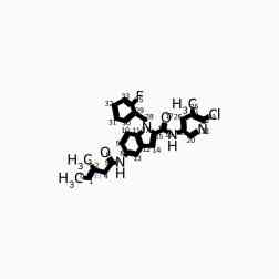 C/C=C(\C)CC(=O)Nc1ccc2c(c1)cc(C(=O)Nc1cnc(Cl)c(C)c1)n2Cc1ccccc1F